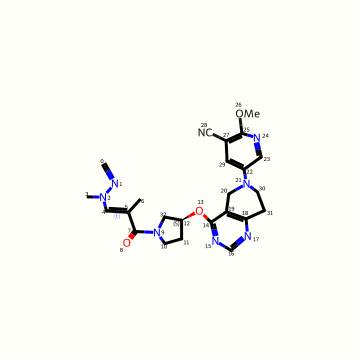 C=NN(C)/C=C(\C)C(=O)N1CC[C@H](Oc2ncnc3c2CN(c2cnc(OC)c(C#N)c2)CC3)C1